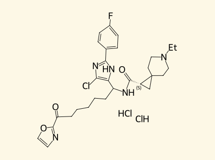 CCN1CCC2(CC1)C[C@@H]2C(=O)NC(CCCCCC(=O)c1ncco1)c1[nH]c(-c2ccc(F)cc2)nc1Cl.Cl.Cl